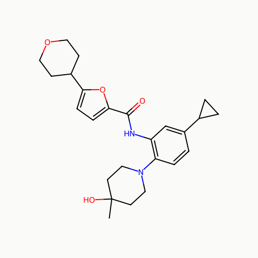 CC1(O)CCN(c2ccc(C3CC3)cc2NC(=O)c2ccc(C3CCOCC3)o2)CC1